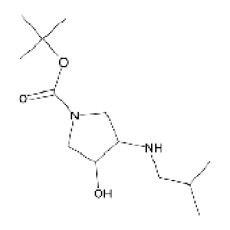 CC(C)CNC1CN(C(=O)OC(C)(C)C)CC1O